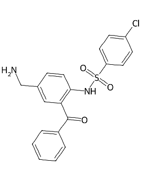 NCc1ccc(NS(=O)(=O)c2ccc(Cl)cc2)c(C(=O)c2ccccc2)c1